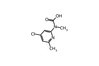 Cc1cc(Cl)cc(N(C)C(=O)O)n1